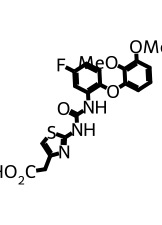 COc1cccc(Oc2ccc(F)cc2NC(=O)Nc2nc(CC(=O)O)cs2)c1OC